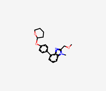 COCc1nc2c(-c3ccc(OC4CCCCO4)cc3)cccc2n1C